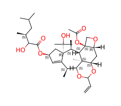 C=CC1O[C@H]2C[C@H]3OC[C@@]3(OC(C)=O)[C@H]3[C@H](C)[C@]4(C(C)(C)O)C[C@H](OC(=O)C(O)[C@@H](C)CC(C)C)C=C4[C@H](C)[C@H](O1)[C@]23C